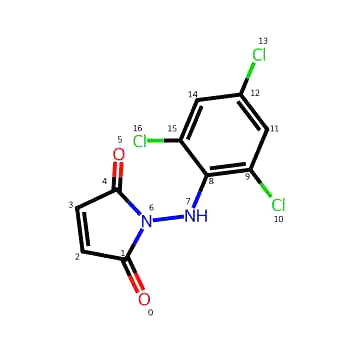 O=C1C=CC(=O)N1Nc1c(Cl)cc(Cl)cc1Cl